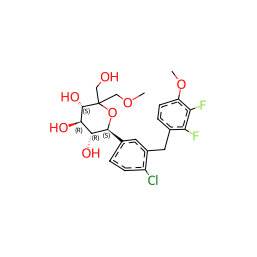 COCC1(CO)O[C@@H](c2ccc(Cl)c(Cc3ccc(OC)c(F)c3F)c2)[C@H](O)[C@@H](O)[C@@H]1O